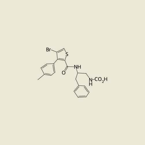 Cc1ccc(-c2c(Br)csc2C(=O)NC(CNC(=O)O)Cc2ccccc2)cc1